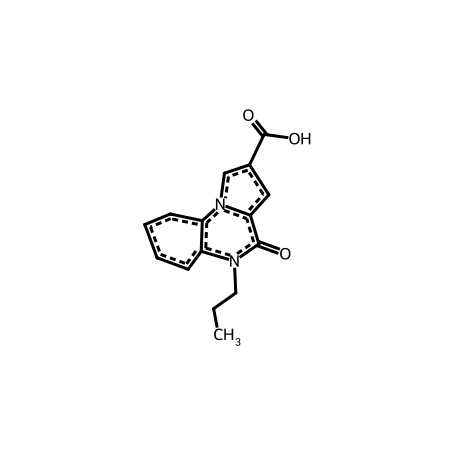 CCCn1c(=O)c2cc(C(=O)O)cn2c2ccccc21